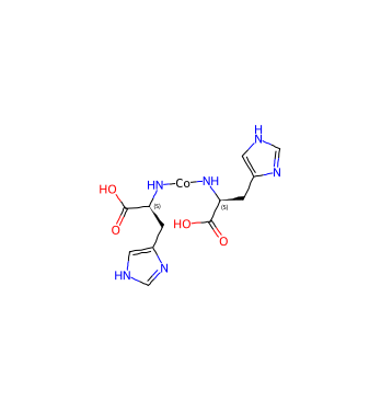 O=C(O)[C@H](Cc1c[nH]cn1)[NH][Co][NH][C@@H](Cc1c[nH]cn1)C(=O)O